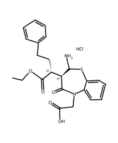 CCOC(=O)[C@H](CCc1ccccc1)[C@@H]1C(=O)N(CC(=O)O)c2ccccc2SC1N.Cl